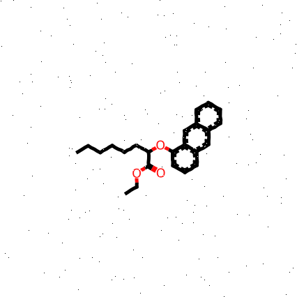 CCCCCCC(Oc1cccc2cc3ccccc3cc12)C(=O)OCC